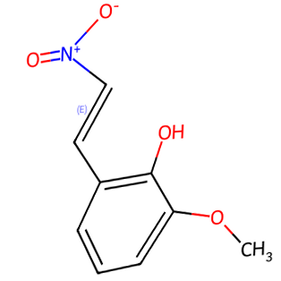 COc1cccc(/C=C/[N+](=O)[O-])c1O